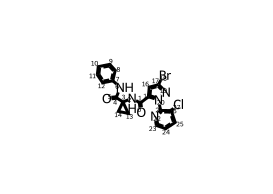 O=C(NC1(C(=O)Nc2ccccc2)CC1)c1cc(Br)nn1-c1ncccc1Cl